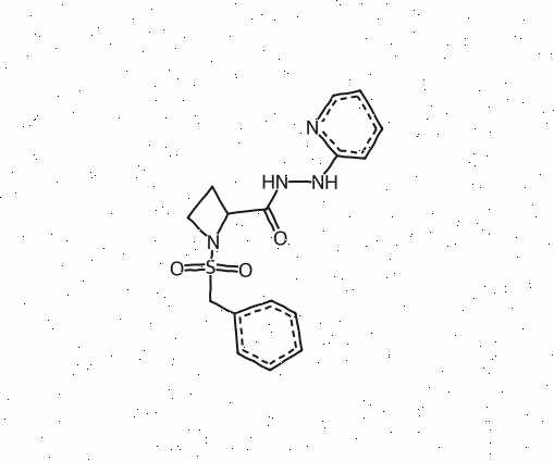 O=C(NNc1ccccn1)C1CCN1S(=O)(=O)Cc1ccccc1